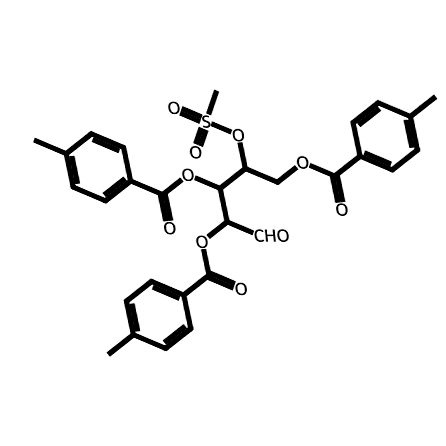 Cc1ccc(C(=O)OCC(OS(C)(=O)=O)C(OC(=O)c2ccc(C)cc2)C(C=O)OC(=O)c2ccc(C)cc2)cc1